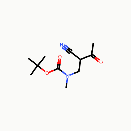 CC(=O)C(C#N)CN(C)C(=O)OC(C)(C)C